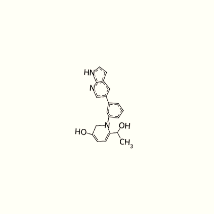 CC(O)C1=CC=C(O)CN1c1cccc(-c2cnc3[nH]ccc3c2)c1